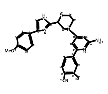 COc1ccc(-c2c[nH]c(C3CN(c4cc(-c5ccc(C#N)c(F)c5)nc(N)n4)CCO3)n2)cc1